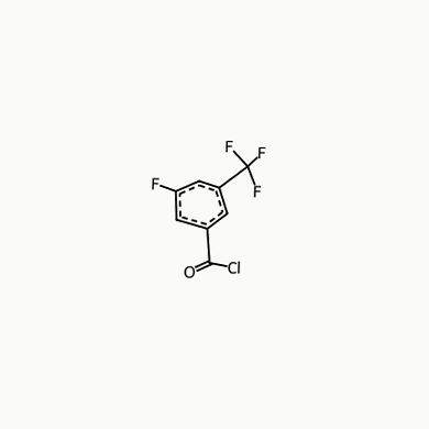 O=C(Cl)c1cc(F)cc(C(F)(F)F)c1